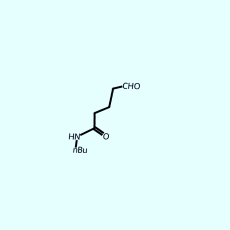 CCCCNC(=O)CCCC=O